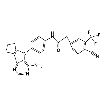 N#Cc1ccc(CC(=O)Nc2ccc(-n3c4c(c5ncnc(N)c53)CCC4)cc2)cc1C(F)(F)F